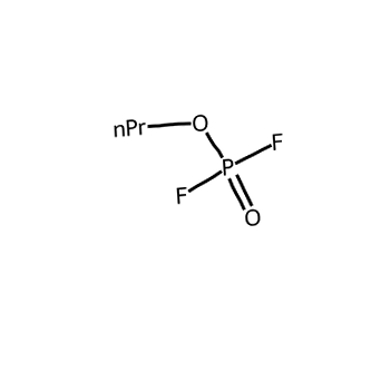 CCCOP(=O)(F)F